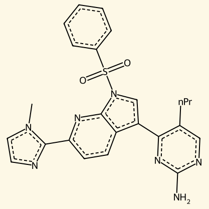 CCCc1cnc(N)nc1-c1cn(S(=O)(=O)c2ccccc2)c2nc(-c3nccn3C)ccc12